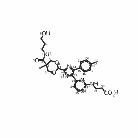 CC1(C(=O)NCCCO)COC(c2nc(-c3ccc(F)cc3)c(-c3ccnc(NCCC(=O)O)n3)[nH]2)OC1